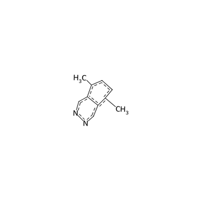 Cc1ccc(C)c2cnncc12